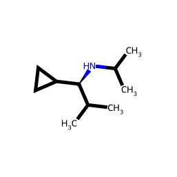 CC(C)N[C@@H](C(C)C)C1CC1